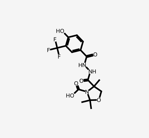 CC1(C)OCC(C)(C(=O)NNC(=O)c2ccc(O)c(C(F)(F)F)c2)N1C(=O)O